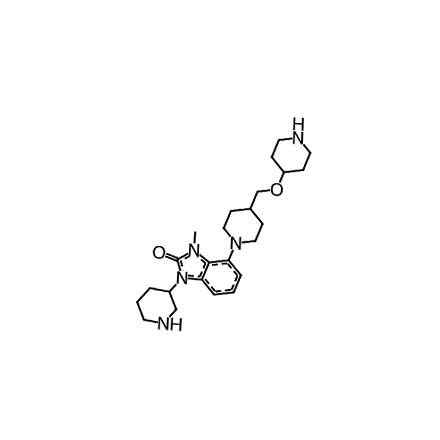 Cn1c(=O)n(C2CCCNC2)c2cccc(N3CCC(COC4CCNCC4)CC3)c21